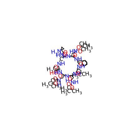 CC(C)C[C@@H]1NC(=O)[C@@H](Cc2ccccc2)NC(=O)[C@H](CCNC(=O)OC(C)(C)C)NC(=O)[C@@H](NC(=O)C2(N)CC2)CCNC(=O)[C@H]([C@@H](C)O)NC(=O)[C@H](CCNC(=O)OC(C)(C)C)NC(=O)[C@H](CCNC(=O)OC(C)(C)C)NC1=O